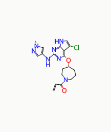 C=CC(=O)N1CCCC(Oc2nc(Nc3cnn(C)c3)nc3[nH]cc(Cl)c23)CC1